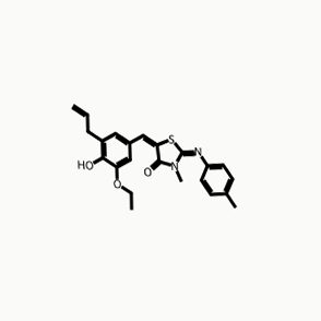 C=CCc1cc(/C=C2/S/C(=N/c3ccc(C)cc3)N(C)C2=O)cc(OCC)c1O